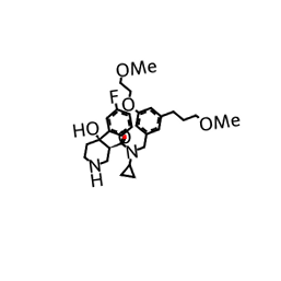 COCCCc1cc(CN(C(=O)[C@H]2CNCC[C@]2(O)c2cccc(F)c2)C2CC2)cc(OCCOC)c1